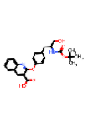 CC(C)(C)OC(=O)NC(CO)Cc1ccc(Oc2nc3ccccc3cc2C(=O)O)cc1